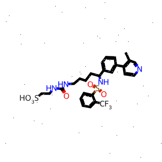 Cc1cnccc1-c1cccc(C(CCCCNC(=O)NCCS(=O)(=O)O)NS(=O)(=O)c2ccccc2C(F)(F)F)c1